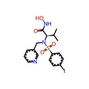 CC(C)[C@H](C(=O)NO)N(Cc1cccnc1)S(=O)(=O)c1ccc(I)cc1